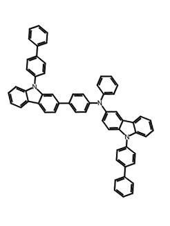 c1ccc(-c2ccc(-n3c4ccccc4c4cc(N(c5ccccc5)c5ccc(-c6ccc7c8ccccc8n(-c8ccc(-c9ccccc9)cc8)c7c6)cc5)ccc43)cc2)cc1